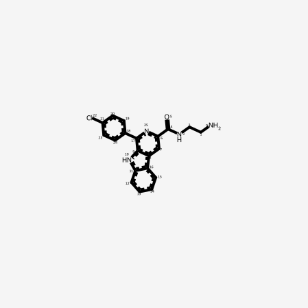 NCCNC(=O)c1cc2c([nH]c3ccccc32)c(-c2ccc(Cl)cc2)n1